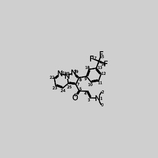 CN(C)/C=C/C(=O)c1c(-c2cccc(C(F)(F)F)c2)nn2ncccc12